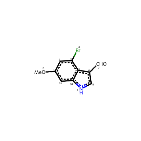 COc1cc(Br)c2c(C=O)c[nH]c2c1